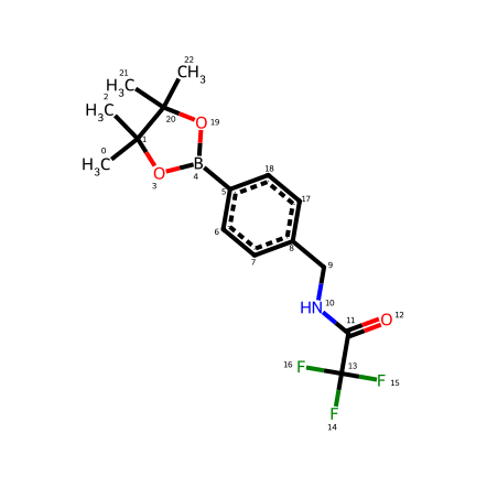 CC1(C)OB(c2ccc(CNC(=O)C(F)(F)F)cc2)OC1(C)C